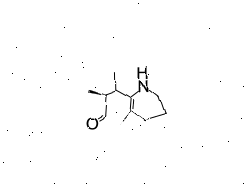 CC1=C(C(C)[C@H](C)C=O)NCCC1